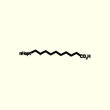 CCCCCCCC[CH]CCCCCCCC(=O)O